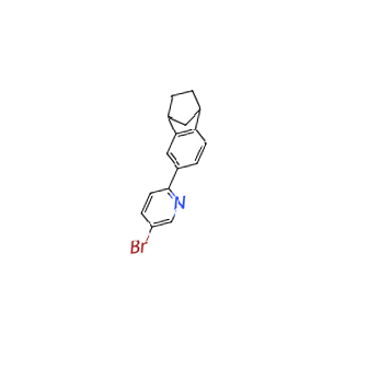 Brc1ccc(-c2ccc3c(c2)C2CCC3C2)nc1